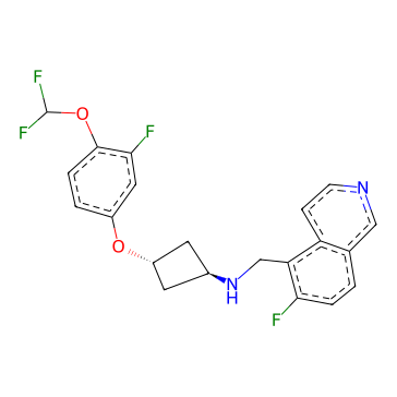 Fc1cc(O[C@H]2C[C@H](NCc3c(F)ccc4cnccc34)C2)ccc1OC(F)F